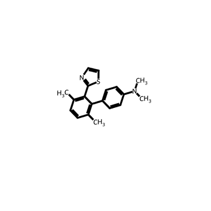 Cc1ccc(C)c(-c2nccs2)c1-c1ccc(N(C)C)cc1